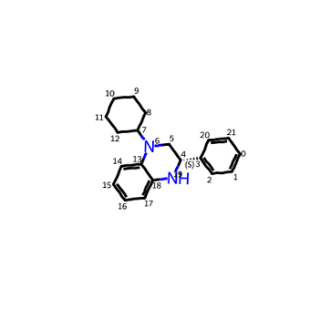 c1ccc([C@H]2CN(C3CCCCC3)c3ccccc3N2)cc1